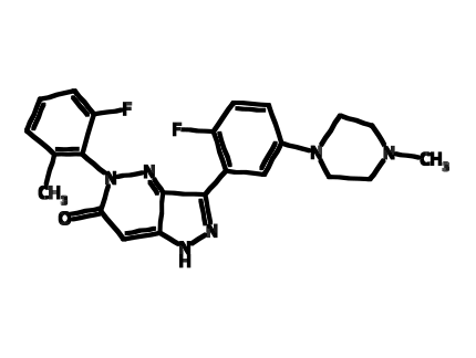 Cc1cccc(F)c1-n1nc2c(-c3cc(N4CCN(C)CC4)ccc3F)n[nH]c2cc1=O